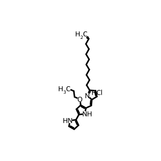 C=CCCCCCCCCCC1=NC(=Cc2[nH]c(-c3ccc[nH]3)cc2OCCC)C=C1.Cl